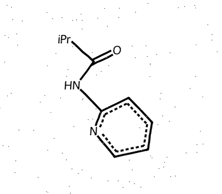 CC(C)C(=O)Nc1ccccn1